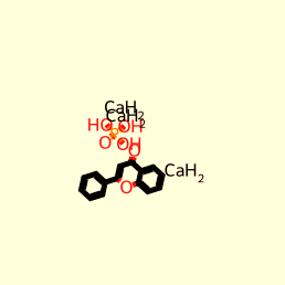 O=P(O)(O)O.O=c1cc(-c2ccccc2)oc2ccccc12.[CaH2].[CaH2].[CaH2]